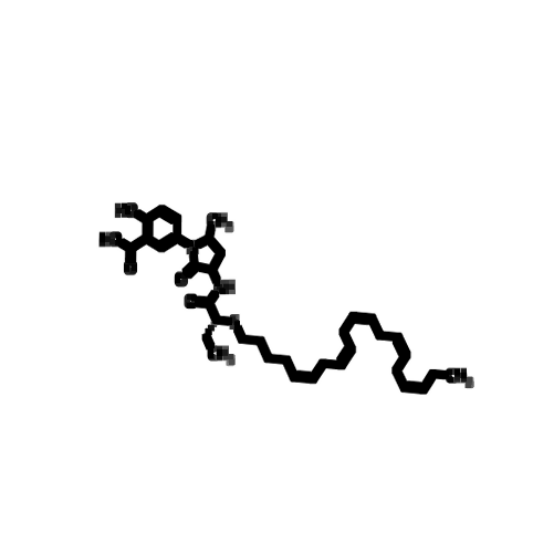 CC/C=C\C/C=C\C/C=C\C/C=C\C/C=C\CCCCS[C@H](CC)C(=O)NC1CC(C)N(c2ccc(O)c(C(=O)O)c2)C1=O